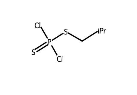 CC(C)CSP(=S)(Cl)Cl